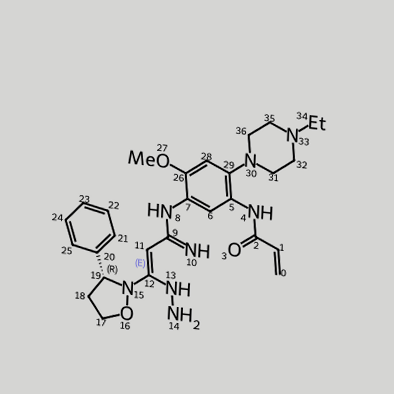 C=CC(=O)Nc1cc(NC(=N)/C=C(\NN)N2OCC[C@@H]2c2ccccc2)c(OC)cc1N1CCN(CC)CC1